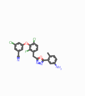 Cc1ccc(N)cc1-c1nnc(Cc2ccc(Cl)c(Oc3cc(Cl)cc(C#N)c3)c2F)o1